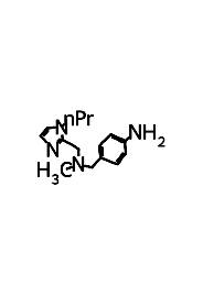 CCCn1ccnc1CN(C)Cc1ccc(N)cc1